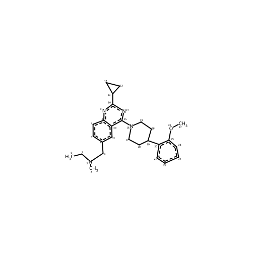 CCN(C)Cc1ccc2nc(C3CC3)nc(N3CCC(c4ccccc4OC)CC3)c2c1